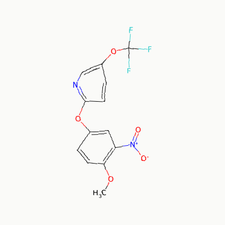 COc1ccc(Oc2ccc(OC(F)(F)F)cn2)cc1[N+](=O)[O-]